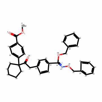 CC(C)(C)OC(=O)c1ccc(C2(C(=O)Cc3ccc(/C(=N/OCc4ccccc4)OCc4ccccc4)cc3)CCCCC2)cc1